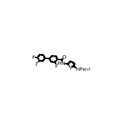 CCCCCc1ccc(NC(=O)c2ccc(-c3ccc(F)c(F)c3)cc2F)s1